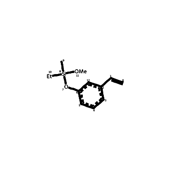 C=Cc1cccc(O[Si](C)(CC)OC)c1